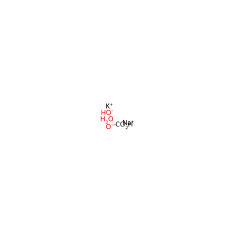 O.O=C([O-])O.[K+].[Na+].[OH-]